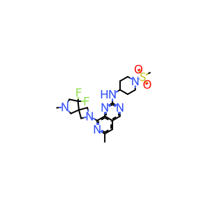 Cc1cc2cnc(NC3CCN(S(C)(=O)=O)CC3)nc2c(N2CC3(CN(C)CC3(F)F)C2)n1